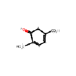 O=C(O)C1=CC=C(C(=O)O)C(=O)C1